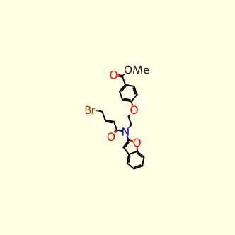 COC(=O)c1ccc(OCCN(C(=O)C=CCBr)c2cc3ccccc3o2)cc1